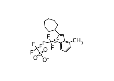 Cc1cccc2c1cc(C1CCCCCC1)[s+]2C(F)(F)F.O=S(=O)([O-])C(F)(F)F